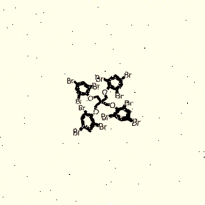 Brc1cc(Br)c(OCC(COc2c(Br)cc(Br)cc2Br)(COc2c(Br)cc(Br)cc2Br)COc2c(Br)cc(Br)cc2Br)c(Br)c1